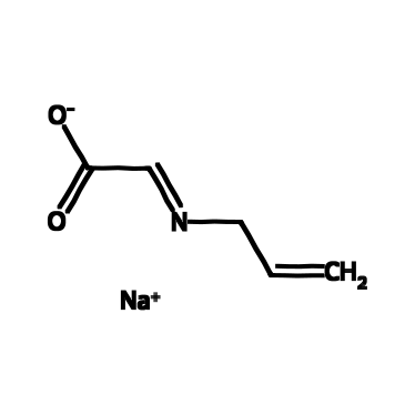 C=CCN=CC(=O)[O-].[Na+]